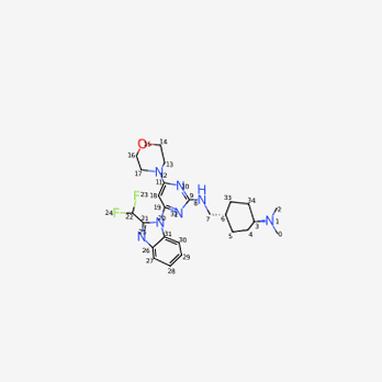 CN(C)[C@H]1CC[C@H](CNc2nc(N3CCOCC3)cc(-n3c(C(F)F)nc4ccccc43)n2)CC1